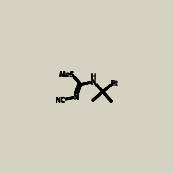 CCC(C)(C)N/C(=N/C#N)SC